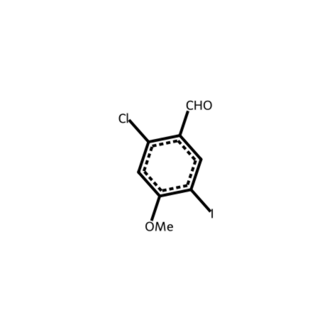 COc1cc(Cl)c(C=O)cc1I